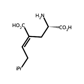 CC(C)C/C=C(\C[C@H](N)C(=O)O)C(=O)O